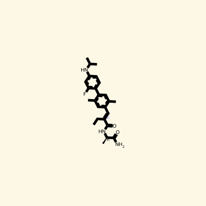 CC/C(=C\c1cc(C)c(-c2ccc(NC(C)C)cc2F)cc1C)C(=O)N[C@H](C)C(N)=O